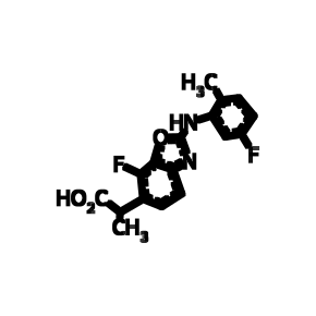 Cc1ccc(F)cc1Nc1nc2ccc(C(C)C(=O)O)c(F)c2o1